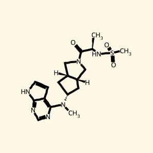 C[C@@H](NS(C)(=O)=O)C(=O)N1C[C@H]2C[C@@H](N(C)c3ncnc4[nH]ccc34)C[C@H]2C1